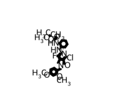 COc1ccc(CN2Cc3c(F)c(N[C@@H]4CCCCC4NC(=O)OC(C)(C)C)nc(Cl)c3C2=O)c(OC)c1